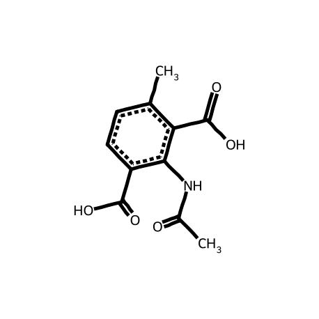 CC(=O)Nc1c(C(=O)O)ccc(C)c1C(=O)O